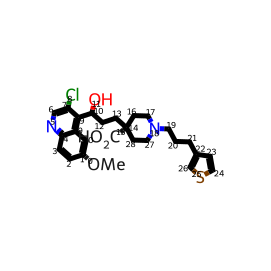 COc1ccc2ncc(Cl)c(C(O)CCC3(C(=O)O)CCN(CCCc4ccsc4)CC3)c2c1